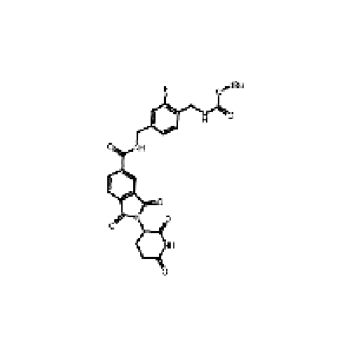 CC(C)(C)OC(=O)NCc1ccc(CNC(=O)c2ccc3c(c2)C(=O)N(C2CCC(=O)NC2=O)C3=O)cc1F